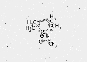 CC1(C)C#CC(C)(C)CS(=O)(=NC(=O)C(F)(F)F)C1